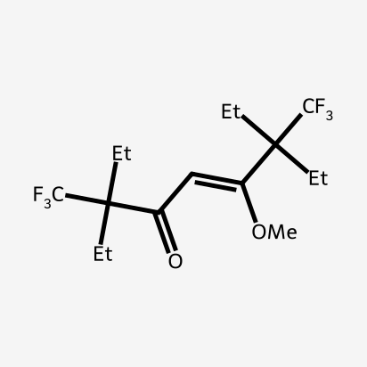 CCC(CC)(C(=O)/C=C(\OC)C(CC)(CC)C(F)(F)F)C(F)(F)F